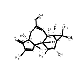 CC1=C[C@H]2[C@@]3(O)[C@H](C)[C@@H](O)C4[C@@H]([C@@H]3C=C(CO)C[C@]2(O)C1=O)C4(C)C